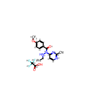 CC(C)CNN(C(=O)c1ccc(OC(F)(F)F)cc1)c1ccnc(C#N)n1.O=C(O)C(F)(F)F